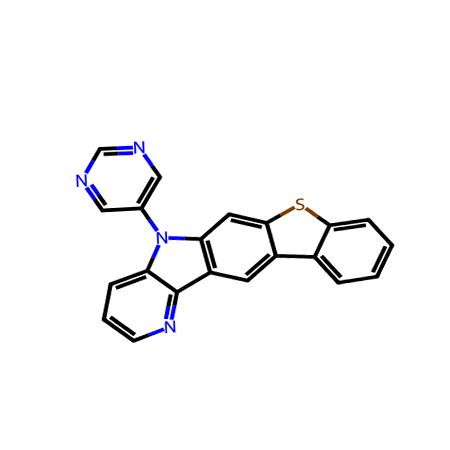 c1ccc2c(c1)sc1cc3c(cc12)c1ncccc1n3-c1cncnc1